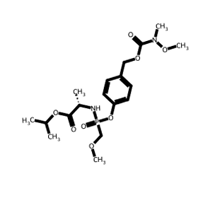 COCP(=O)(N[C@@H](C)C(=O)OC(C)C)Oc1ccc(COC(=O)N(C)OC)cc1